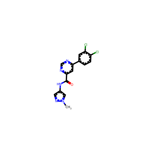 Cn1cc(NC(=O)c2cc(-c3ccc(Cl)c(Cl)c3)ncn2)cn1